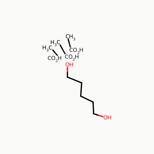 CC(=O)O.CC(=O)O.CC(=O)O.OCCCCCO